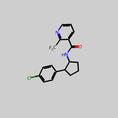 O=C(NC1CCCC1c1ccc(Cl)cc1)c1cccnc1C(F)(F)F